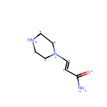 NC(=O)C=CN1CCNCC1